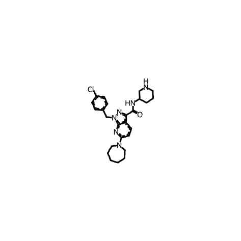 O=C(NC1CCCNC1)c1nn(Cc2ccc(Cl)cc2)c2nc(N3CCCCCC3)ccc12